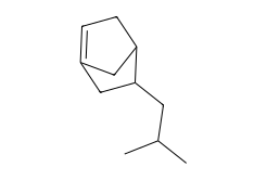 CC(C)CC1CC2=CCC1C2